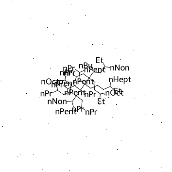 CCCCCCCCCC(CC)CC(CCCC)C(CCC(CC)CCCCCCCC)(CC(CCC)CCCCC)C(CCCC(CC)CCCCCCC)(CC(CCC)CCCCC)C(CCC)(CC(CCC)CCCCC)C(CC(CCC)CCCCC)([C](CC(CCC)CCCCC)CC(CCC)CCCCCCCC)C(CCC)CCCCCCCCC